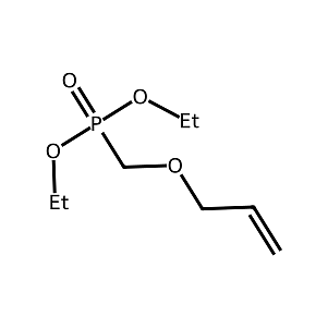 C=CCOCP(=O)(OCC)OCC